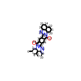 C=C/C=C1\C(=C(C)C)/C(=C\C)N=c2c3cc4c(=O)n5c6cccc7cccc(nc-5c4cc3c(=O)n21)c76